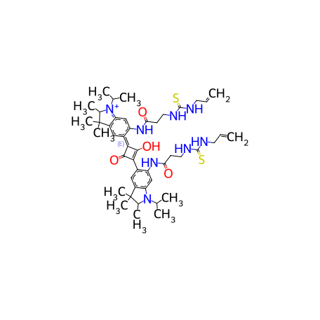 C=CCNC(=S)NCCC(=O)Nc1cc2c(cc1C1=C(O)/C(=c3/cc4c(cc3NC(=O)CCNC(=S)NCC=C)=[N+](C(C)C)C(C)C4(C)C)C1=O)C(C)(C)C(C)N2C(C)C